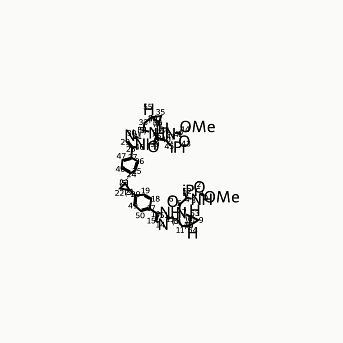 COC(=O)NC(C(=O)N1[C@@H]2C[C@@H]2C[C@H]1c1ncc(-c2ccc([C@H]3C[C@@H]3c3ccc(-c4cnc([C@@H]5C[C@H]6C[C@H]6N5C(=O)C(NC(=O)OC)C(C)C)[nH]4)cc3)cc2)[nH]1)C(C)C